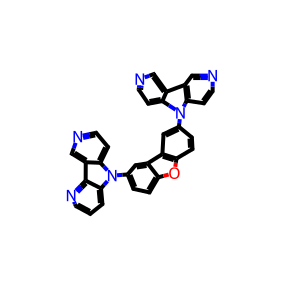 c1cnc2c3cnccc3n(-c3ccc4oc5ccc(-n6c7ccncc7c7cnccc76)cc5c4c3)c2c1